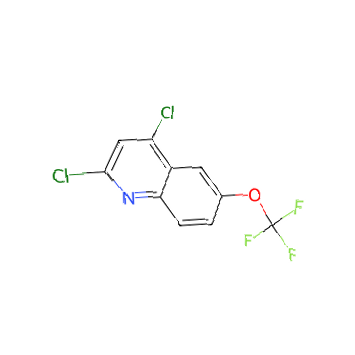 FC(F)(F)Oc1ccc2nc(Cl)cc(Cl)c2c1